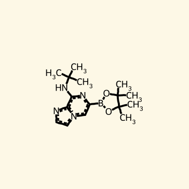 CC(C)(C)Nc1nc(B2OC(C)(C)C(C)(C)O2)cn2ccnc12